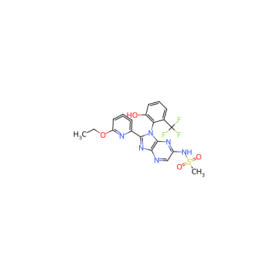 CCOC1=NC(c2nc3ncc(NS(C)(=O)=O)nc3n2-c2c(O)cccc2C(F)(F)F)=C=C=C1